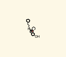 Oc1ccc2c(c1)[C@@]13CCCC[C@H]1[C@@H](C2)N(SCCc1ccccc1)CC3